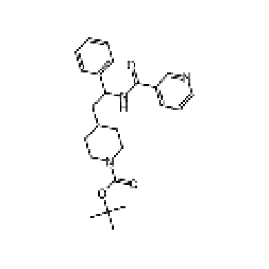 CC(C)(C)OC(=O)N1CCC(CC(NC(=O)c2cccnc2)c2ccccc2)CC1